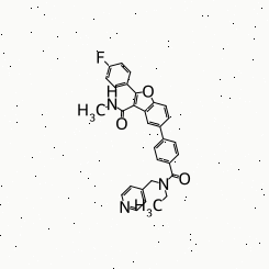 CCN(Cc1ccncc1)C(=O)c1ccc(-c2ccc3oc(-c4ccc(F)cc4)c(C(=O)NC)c3c2)cc1